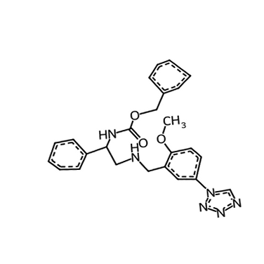 COc1ccc(-n2cnnn2)cc1CNCC(NC(=O)OCc1ccccc1)c1ccccc1